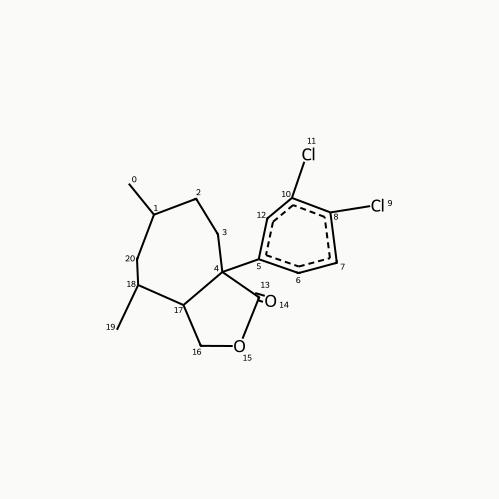 CC1CCC2(c3ccc(Cl)c(Cl)c3)C(=O)OCC2C(C)C1